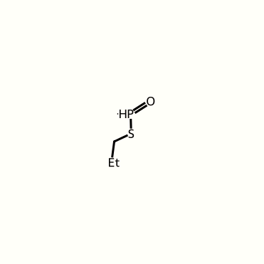 CCCS[PH]=O